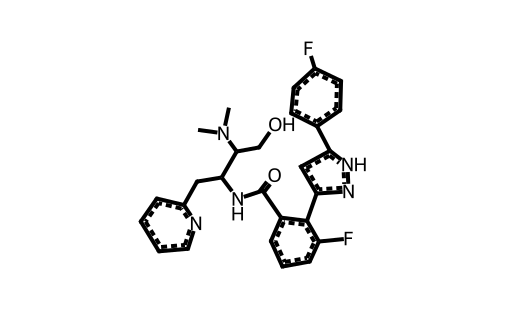 CN(C)C(CO)C(Cc1ccccn1)NC(=O)c1cccc(F)c1-c1cc(-c2ccc(F)cc2)[nH]n1